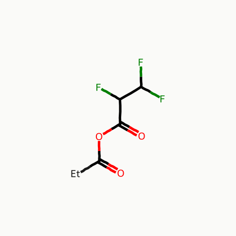 CCC(=O)OC(=O)C(F)C(F)F